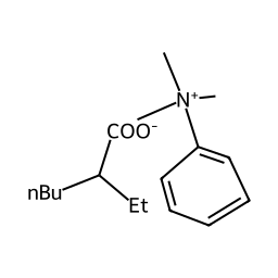 CCCCC(CC)C(=O)[O-].C[N+](C)(C)c1ccccc1